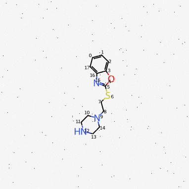 c1ccc2oc(SCCN3CCNCC3)nc2c1